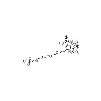 CC(C)(C)c1cc(CCCOCCOCCOCCOCCS(C)(=O)=O)cc(C(C)(C)C)c1OC(=O)O